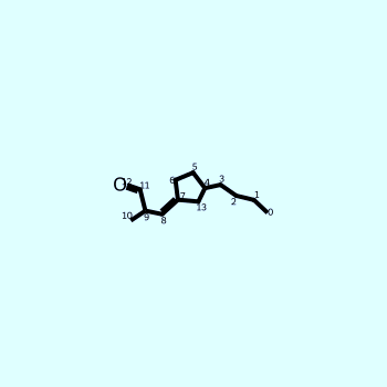 CCCCC1CCC(=CC(C)C=O)C1